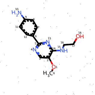 COc1cnc(-c2ccc(N)cc2)nc1NCCO